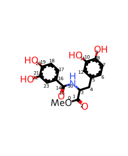 COC(=O)C(Cc1ccc(O)c(O)c1)NC(=O)c1ccc(O)c(O)c1